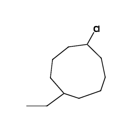 CCC1CCCCC(Cl)CCC1